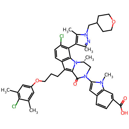 Cc1cc(OCCCc2c3n(c4c(-c5c(C)nn(CC6CCOCC6)c5C)c(Cl)ccc24)[C@H](C)CN(c2cc4ccc(C(=O)O)cc4n2C)C3=O)cc(C)c1Cl